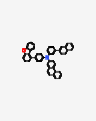 c1cc(-c2ccc3ccccc3c2)cc(N(c2ccc(-c3cccc4oc5ccccc5c34)cc2)c2ccc3c(ccc4ccccc43)c2)c1